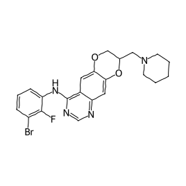 Fc1c(Br)cccc1Nc1ncnc2cc3c(cc12)OCC(CN1CCCCC1)O3